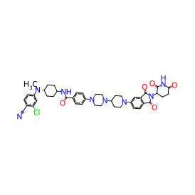 CN(c1ccc(C#N)c(Cl)c1)[C@H]1CC[C@H](NC(=O)c2ccc(N3CCN(C4CCN(c5ccc6c(c5)C(=O)N(C5CCC(=O)NC5=O)C6=O)CC4)CC3)cc2)CC1